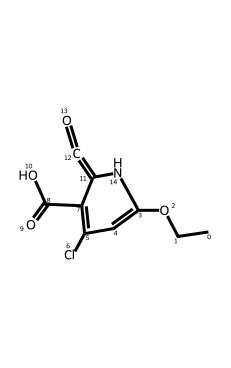 CCOC1=CC(Cl)=C(C(=O)O)C(=C=O)N1